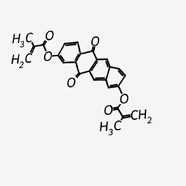 C=C(C)C(=O)Oc1ccc2c(c1)C(=O)c1cc3cc(OC(=O)C(=C)C)ccc3cc1C2=O